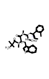 C/C=C(/C[C@H](NC=O)N(C)C(=O)[C@@H](Cc1csc2ccccc12)N(C)C(=O)C(C)(C)N)c1ccccc1C